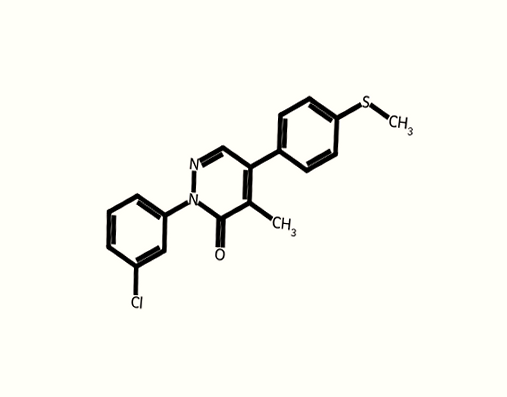 CSc1ccc(-c2cnn(-c3cccc(Cl)c3)c(=O)c2C)cc1